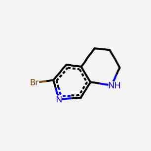 Brc1cc2c(cn1)NCCC2